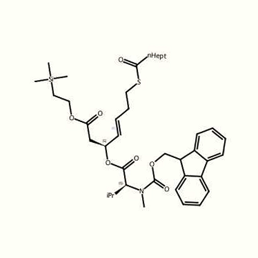 CCCCCCCC(=O)SCC/C=C/[C@H](CC(=O)OCC[Si](C)(C)C)OC(=O)[C@H](C(C)C)N(C)C(=O)OCC1c2ccccc2-c2ccccc21